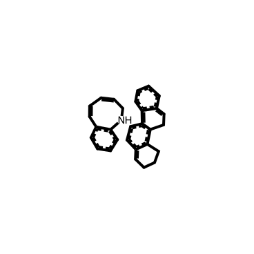 C1=CCNc2ccccc2C=C1.C1=c2ccc3c(c2CCC1)CC=c1ccccc1=3